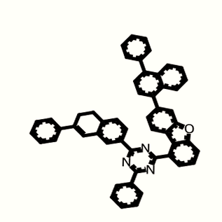 C1=C(c2ccccc2)CCc2ccc(-c3nc(-c4ccccc4)nc(-c4cccc5oc6cc(-c7ccc(-c8ccccc8)c8ccccc78)ccc6c45)n3)cc21